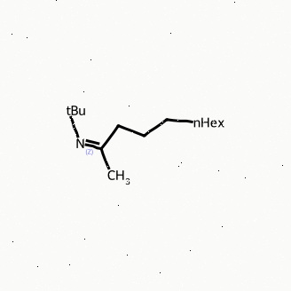 CCCCCCCCC/C(C)=N\C(C)(C)C